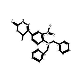 CC1CC(=O)NN=C1c1ccc(N(Cc2ccccc2)Cc2ccccc2)c([N+](=O)[O-])c1